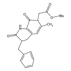 CC1=CC2=C(NC(=O)C(Cc3ccccc3)C2)C(=O)C1CC(=O)OC(C)(C)C